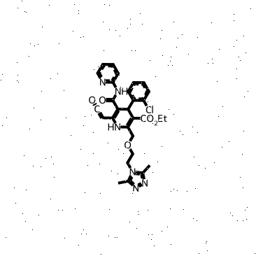 CCOC(=O)C1=C(COCCn2c(C)nnc2C)NC(C=C=O)=C(C(=O)Nc2ccccn2)C1c1ccccc1Cl